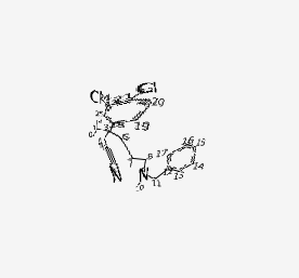 CC(C)C(C#N)(CCCN(C)Cc1ccccc1)c1ccc(Cl)c(Cl)c1